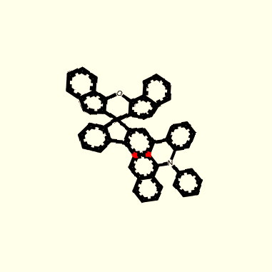 c1ccc(N(c2ccccc2-c2ccc3c(c2)C2(c4ccccc4-3)c3ccc4ccccc4c3Oc3c2ccc2ccccc32)c2cccc3ccccc23)cc1